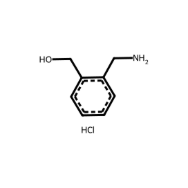 Cl.NCc1ccccc1CO